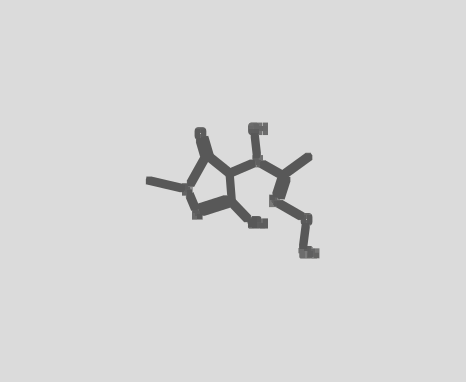 CC(=NOC(C)(C)C)N(O)C1C(=O)N(C)N=C1C(C)(C)C